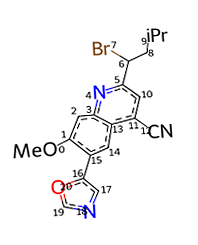 COc1cc2nc(C(Br)CC(C)C)cc(C#N)c2cc1-c1cnco1